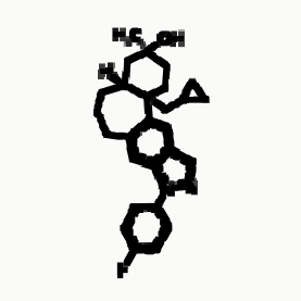 C[C@]1(O)CC[C@]2(CC3CC3)c3cc4cnn(-c5ccc(F)cc5)c4cc3CCC[C@@H]2C1